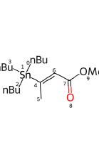 CCC[CH2][Sn]([CH2]CCC)([CH2]CCC)[C](C)=CC(=O)OC